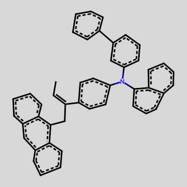 C/C=C(/Cc1c2ccccc2cc2ccccc12)c1ccc(N(c2cccc(-c3ccccc3)c2)c2cccc3ccccc23)cc1